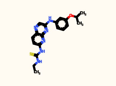 CCNC(=S)Nc1ccc2ncc(Nc3cccc(OC(C)C)c3)nc2n1